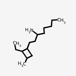 CCCCCC(N)CCC1CC(C)C1CC